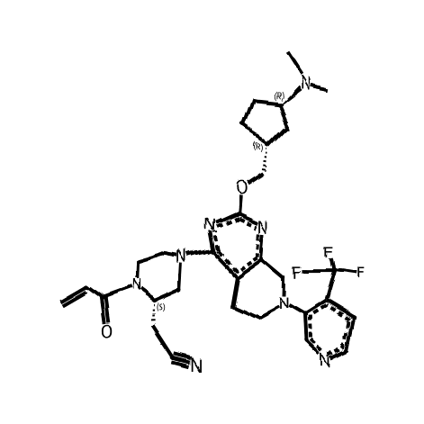 C=CC(=O)N1CCN(c2nc(OC[C@@H]3CC[C@@H](N(C)C)C3)nc3c2CCN(c2cnccc2C(F)(F)F)C3)C[C@@H]1CC#N